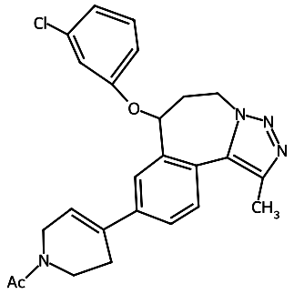 CC(=O)N1CC=C(c2ccc3c(c2)C(Oc2cccc(Cl)c2)CCn2nnc(C)c2-3)CC1